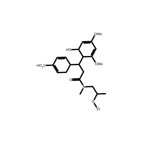 CCOC(C)CN(C)C(=O)CC(C1C=CC(C(=O)O)=CC1)C1C(OC)=CC(OC)=CC1O